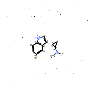 CCN(CC)[C@@H]1C[C@H]1c1c[nH]c2ccc(F)cc12